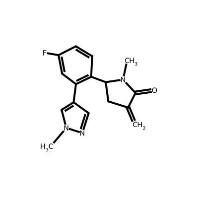 C=C1CC(c2ccc(F)cc2-c2cnn(C)c2)N(C)C1=O